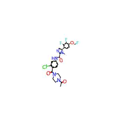 CC(=O)N1CCN(C(=O)c2ccc(NC(=O)c3ncc(-c4ccc(OCF)c(F)c4F)n3C)cc2Cl)CC1